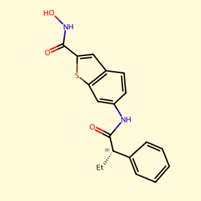 CC[C@H](C(=O)Nc1ccc2cc(C(=O)NO)sc2c1)c1ccccc1